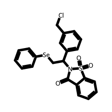 O=C1c2ccccc2S(=O)(=O)N1C(C[Se]c1ccccc1)c1cccc(CCl)c1